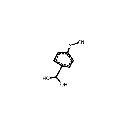 N#CSc1ccc(C(O)O)cc1